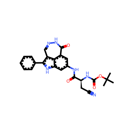 CC(C)(C)OC(=O)N[C@@H](CC#N)C(=O)Nc1cc2c3c(c(-c4ccccc4)[nH]c3c1)C=NNC2=O